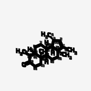 CC1=C[C@@H](C)[C@H]2[C@@H]3CC[C@H]4N(C)C(=O)CC[C@]4(C)[C@H]3CC[C@]12C